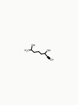 C#CC(O)CCCC(C)O